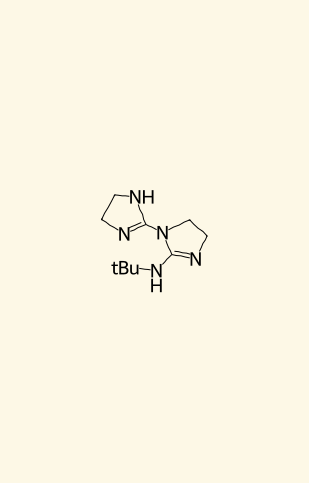 CC(C)(C)NC1=NCCN1C1=NCCN1